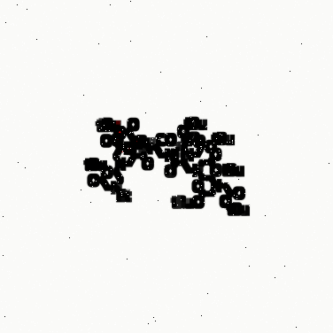 CCN(CCN(CC(=O)OC(C)(C)C)CC(C(=O)NC(CNC(=O)C(CN(CCN(CC(=O)OC(C)(C)C)CC(=O)OC(C)(C)C)CC(=O)OC(C)(C)C)N(CC(=O)OC(C)(C)C)CC(=O)OC(C)(C)C)C(=O)O)N(CC(=O)OC(C)(C)C)CC(=O)OC(C)(C)C)CC(=O)OC(C)(C)C